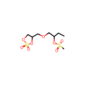 CCC(COCC1COS(=O)(=O)O1)OS(C)(=O)=O